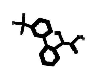 NC(=O)C(O)c1ccccc1-c1cccc(C(F)(F)F)c1